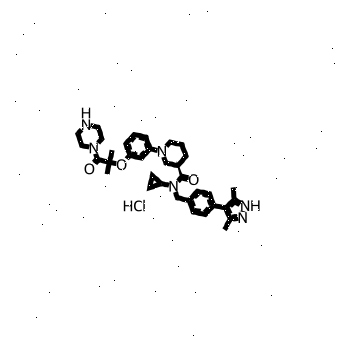 Cc1n[nH]c(C)c1-c1ccc(CN(C(=O)[C@@H]2CCCN(c3cccc(OC(C)(C)C(=O)N4CCNCC4)c3)C2)C2CC2)cc1.Cl